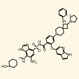 CC(C)c1ccccc1[C@@H]1CCCN1C1CC2(CCN(c3ccc(C(=O)NS(=O)(=O)c4cc([N+](=O)[O-])c(NC[C@H]5CC[C@](C)(O)CC5)c5[nH]cnc45)c(Oc4cnc5[nH]ccc5c4)c3)CC2)C1